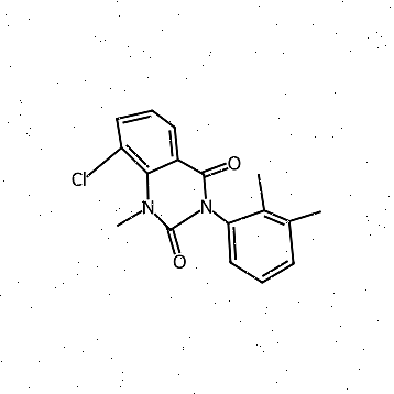 Cc1cccc(-n2c(=O)c3cccc(Cl)c3n(C)c2=O)c1C